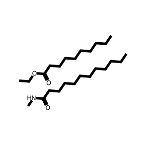 CCCCCCCCCC(=O)OCC.CCCCCCCCCCCC(=O)NC